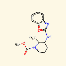 CC1C(Nc2nc3ccccc3o2)CCCN1C(=O)OC(C)(C)C